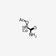 CC(=O)ONC(N)=O.[Co]